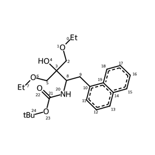 CCOCC(O)(COCC)C(Cc1cccc2ccccc12)NC(=O)OC(C)(C)C